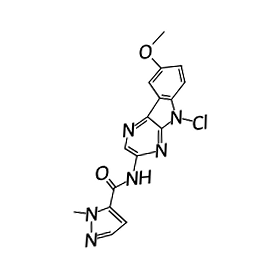 COc1ccc2c(c1)c1ncc(NC(=O)c3ccnn3C)nc1n2Cl